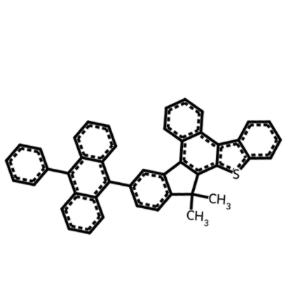 CC1(C)c2ccc(-c3c4ccccc4c(-c4ccccc4)c4ccccc34)cc2-c2c1c1sc3ccccc3c1c1ccccc21